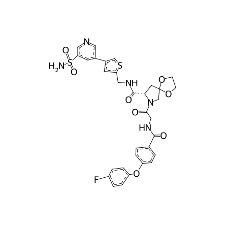 NS(=O)(=O)c1cncc(-c2csc(CNC(=O)[C@@H]3CC4(CN3C(=O)CNC(=O)c3ccc(Oc5ccc(F)cc5)cc3)OCCO4)c2)c1